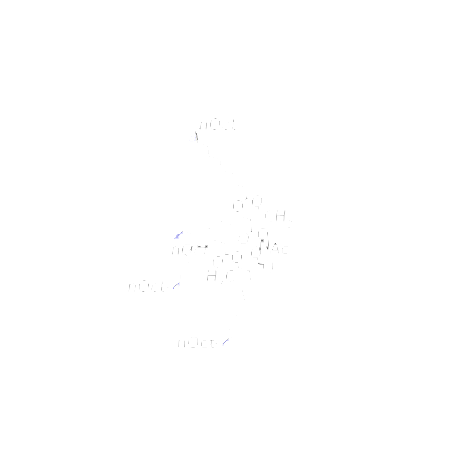 CCCCCCCC/C=C\CCCCCCCC(=O)OC(C)C(CCCCCC/C=C\CCCCCCCC)C(=O)ON(OC(=O)C(CCCCCC/C=C\CCCCCCCC)C(C)OC(=O)CCCCCCC/C=C\CCCCCCCC)C(C)=O